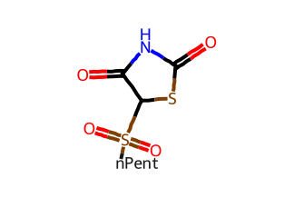 CCCCCS(=O)(=O)C1SC(=O)NC1=O